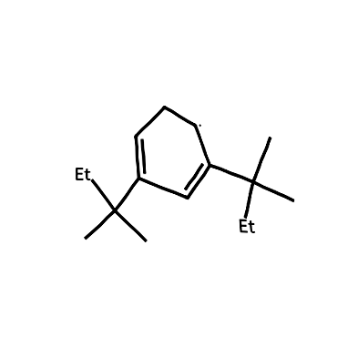 CCC(C)(C)C1=CC(C(C)(C)CC)=CC[CH]1